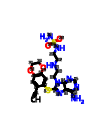 C#Cc1cc2c(cc1Sc1nc3c(N)ncnc3n1CCNCCNS(N)(=O)=O)OCCO2